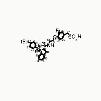 CC(C)(C)c1ccc(S(=O)(=O)N2c3ccccc3C[C@H]2C(=O)NCCOc2ccc(CC(=O)O)cc2F)cc1